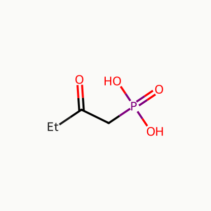 CCC(=O)CP(=O)(O)O